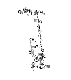 C=CCC[C@H]1C(COC(=O)N2CCC(C(=O)N[C@@H](CCCNC(=N)N)C(=O)N[C@@H](CCCNC(=N)N)C(=O)NCCOCCOCCOCCOCCOCCOCCC(=O)NCCCn3c(C)nc4cc(C(=O)Nc5nc(-c6ccccn6)cs5)ccc43)CC2)[C@H]1CCCC